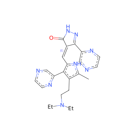 CCN(CC)CCc1c(C)[nH]c(/C=C2/C(=O)NN=C2c2cnccn2)c1-c1cnccn1